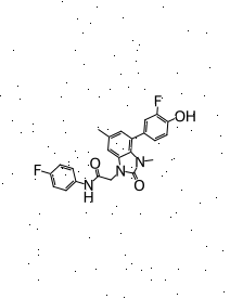 Cc1cc(-c2ccc(O)c(F)c2)c2c(c1)n(CC(=O)Nc1ccc(F)cc1)c(=O)n2C